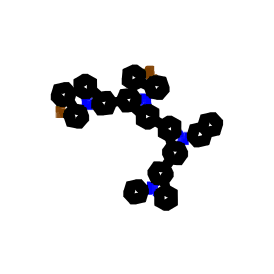 c1ccc(-n2c3ccccc3c3cc(-c4ccc5c(c4)c4cc(-c6ccc7c8cc(-c9ccc%10c(c9)c9ccccc9n%10-c9cccc%10sc%11ccccc%11c9%10)ccc8n(-c8cccc9sc%10ccccc%10c89)c7c6)ccc4n5-c4ccc5ccccc5c4)ccc32)cc1